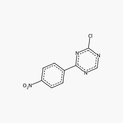 O=[N+]([O-])c1ccc(-c2ncnc(Cl)n2)cc1